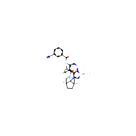 CC(C)C(=O)N1C[C@H]2CC[C@@H](C1)[C@H]2c1cn(C)c2ncc(NC(=O)c3cccc(C#N)c3)c(C(F)(F)F)c12